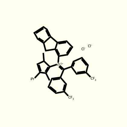 CC1=[C]([Zr+2](=[C](c2cccc(C(F)(F)F)c2)c2cccc(C(F)(F)F)c2)[c]2cccc3c2Cc2ccccc2-3)C(C)C=C1C(C)C.[Cl-].[Cl-]